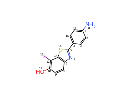 Nc1ccc(-c2nc3ccc(O)c(I)c3s2)cc1